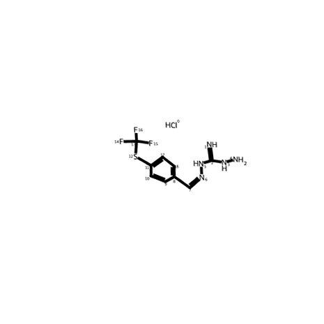 Cl.N=C(NN)N/N=C\c1ccc(SC(F)(F)F)cc1